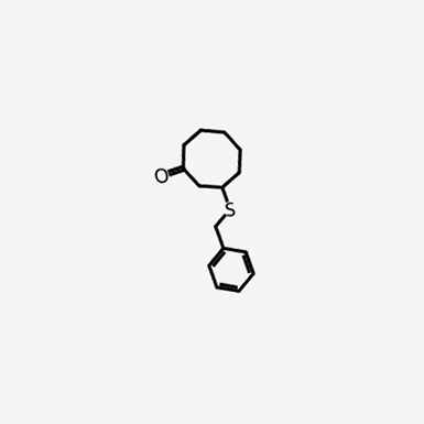 O=C1CCCCCC(SCc2ccccc2)C1